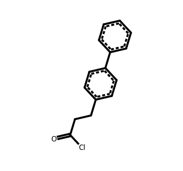 O=C(Cl)CCc1ccc(-c2ccccc2)cc1